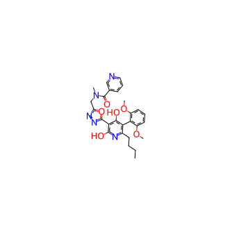 CCCCc1nc(O)c(-c2nnc(CN(C)C(=O)c3cccnc3)o2)c(O)c1-c1c(OC)cccc1OC